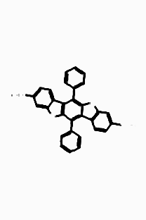 CCCCCCc1ccc2c(c1)oc1c(-c3ccccc3)c3c(oc4cc(CCCCCC)ccc43)c(-c3ccccc3)c12